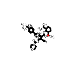 CC(C)C1CCCC(C(C)C)C1OC(=O)c1c(C#N)c(OC(=O)N2CCOCC2)n2nc(-c3ccc(C(C)(C)C)cc3)[nH]c12